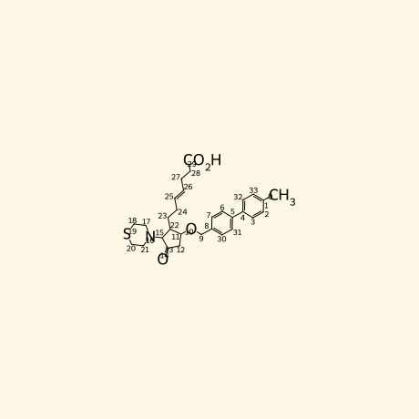 Cc1ccc(-c2ccc(COC3CC(=O)C(N4CCSCC4)C3CCC=CCCC(=O)O)cc2)cc1